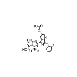 CN(C(=O)O)c1c(N)nc(-c2nn(Cc3ccccc3F)c3ncc(F)cc23)nc1N.O=[N+]([O-])O